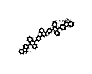 CC1(C)c2ccccc2-c2ccc(-c3c4ccccc4c(-c4ccc5c(c4)Sc4cccc6c4c-5cc4sc5cc(-c7c8ccccc8c(-c8ccc9c(c8)C(C)(C)c8ccccc8-9)c8ccccc78)ccc5c46)c4ccccc34)cc21